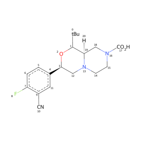 CC(C)(C)C1O[C@H](c2ccc(F)c(C#N)c2)CN2CCN(C(=O)O)C[C@H]12